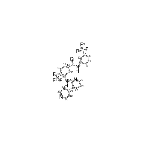 O=C(Nc1cccc(C(F)(F)F)c1)c1ccc(C(F)(F)F)c(Nc2ncccc2-c2ccncn2)c1